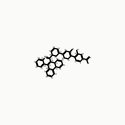 C=C(C)c1ccc(C2=C(C)C=C(C3=CC=CC(c4nc5ccccc5c5c4C4C=CC=CC4c4ccccc4-5)C3)CC2)c(C)c1